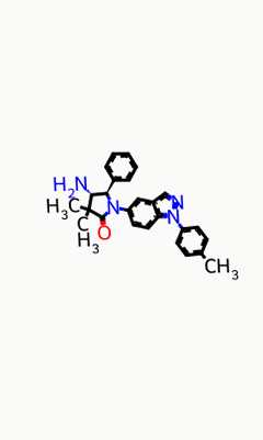 Cc1ccc(-n2ncc3cc(N4C(=O)C(C)(C)[C@H](N)[C@H]4c4ccccc4)ccc32)cc1